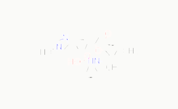 Cc1cc([C@@H](C)Nc2ccccc2C(=O)O)c2oc(-c3ccc(-c4cn(C)cn4)cc3)cc(=O)c2c1